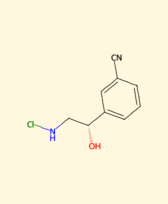 N#Cc1cccc([C@H](O)CNCl)c1